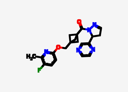 Cc1nc(OCC23CC(C(=O)N4N=CCC4c4cnccn4)(C2)C3)ccc1F